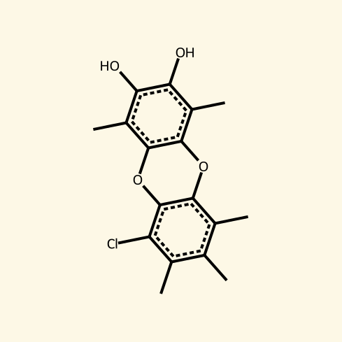 Cc1c(C)c(Cl)c2c(c1C)Oc1c(C)c(O)c(O)c(C)c1O2